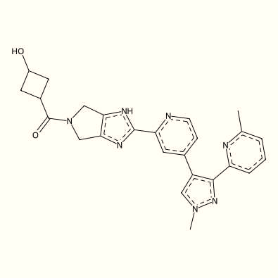 Cc1cccc(-c2nn(C)cc2-c2ccnc(-c3nc4c([nH]3)CN(C(=O)C3CC(O)C3)C4)c2)n1